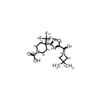 CC1(C)CN(C(=O)c2nc(C3(C(F)(F)F)CCN(C(=O)O)CC3)no2)C1